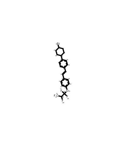 CCC1CCC(c2ccc(C=Cc3ccc(OC(F)(F)C(F)C(F)(F)F)cc3)cc2)CC1